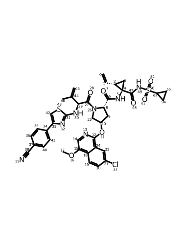 C=C[C@@H]1C[C@]1(NC(=O)[C@@H]1C[C@@H](Oc2ncc(OC)c3ccc(Cl)cc23)CN1C(=O)[C@@H](Nc1nc(-c2ccc(C#N)cc2)cs1)C(=C)C)C(=O)NS(=O)(=O)C1CC1